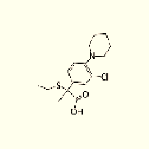 CCSC(C)(C(=O)O)c1ccc(N2CCCCC2)c(Cl)c1